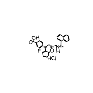 C[C@@H](NC[C@H]1C[C@@H](c2ccc(C(=O)O)cc2F)c2ccccc2O1)c1cccc2ccccc12.Cl